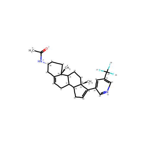 CC(=O)N[C@@H]1CC[C@@]2(C)C(=CCC3C2CC[C@]2(C)C(c4cncc(C(F)(F)F)c4)=CCC32)C1